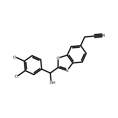 N#CCc1ccc2nc(C(O)c3ccc(Cl)c(Cl)c3)oc2c1